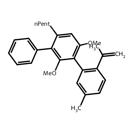 C=C(C)c1ccc(C)cc1-c1c(OC)cc(CCCCC)c(-c2ccccc2)c1OC